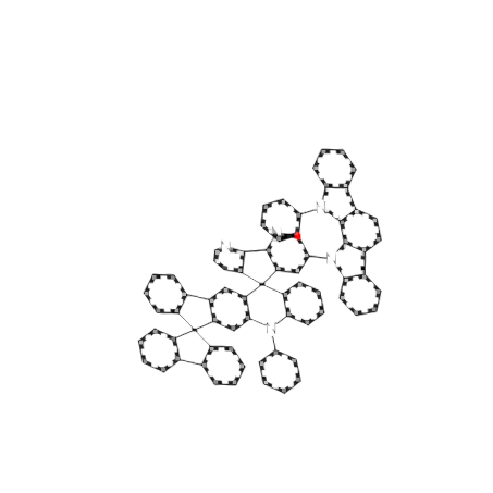 c1ccc(N2c3ccccc3C3(c4cc5c(cc42)C2(c4ccccc4-c4ccccc42)c2ccccc2-5)c2cccnc2-c2ncc(-n4c5ccccc5c5ccc6c7ccccc7n(-c7ccccc7)c6c54)cc23)cc1